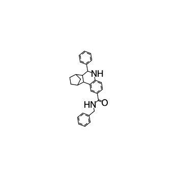 O=C(NCc1ccccc1)c1ccc2c(c1)C1C3CCC(C3)C1C(c1ccccc1)N2